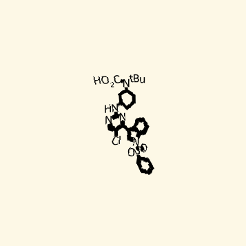 CC(C)(C)N(C(=O)O)C1CCC[C@@H](Nc2ncc(Cl)c(-c3cn(S(=O)(=O)c4ccccc4)c4ccccc34)n2)C1